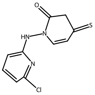 O=C1CC(=S)C=CN1Nc1cccc(Cl)n1